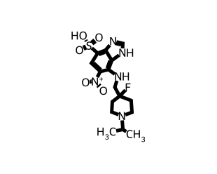 CC(C)N1CCC(F)(CNc2c([N+](=O)[O-])cc(S(=O)(=O)O)c3nc[nH]c23)CC1